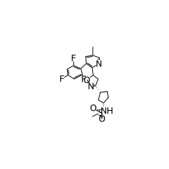 Cc1cnc(C2CC([C@@H]3CC[C@H](NS(C)(=O)=O)C3)=NO2)c(-c2c(F)cc(F)cc2F)c1